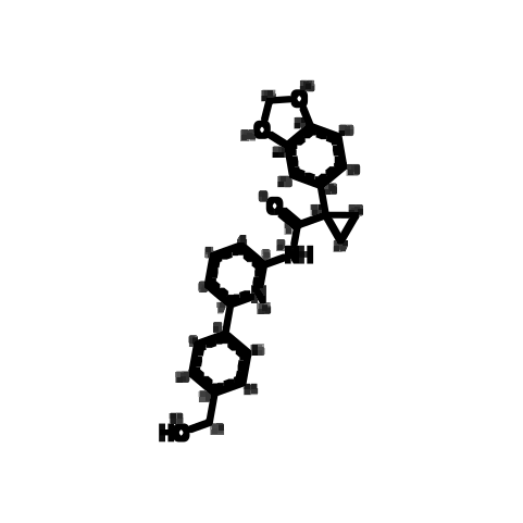 O=C(Nc1cccc(-c2ccc(CO)cc2)n1)C1(c2ccc3c(c2)OCO3)CC1